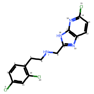 Clc1ccc(CCNCc2nc3ccc(Cl)nc3[nH]2)c(Cl)c1